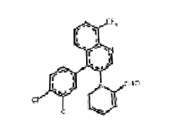 O=CC1=CC=CCN1c1cnc2c(C(F)(F)F)cccc2c1-c1ccc(Cl)c(Cl)c1